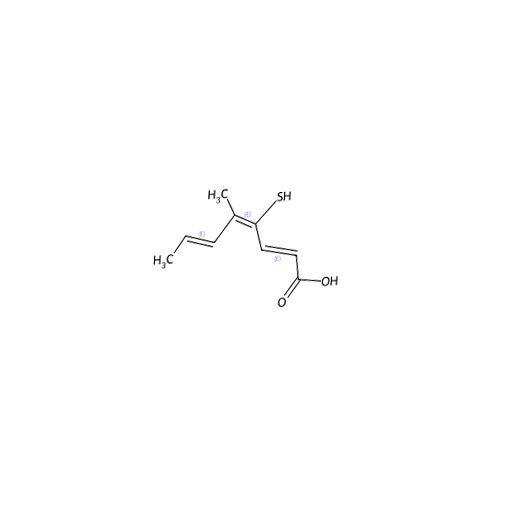 C/C=C/C(C)=C(S)\C=C\C(=O)O